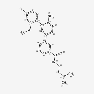 COc1cc(F)ccc1-c1cc(-c2cccc(C(=O)NCCN(C)C)c2)cnc1N